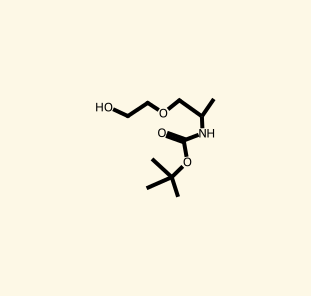 CC(COCCO)NC(=O)OC(C)(C)C